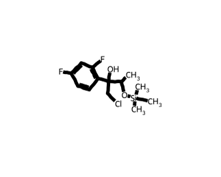 CC(O[Si](C)(C)C)C(O)(CCl)c1ccc(F)cc1F